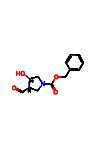 O=C[C@@H]1CN(C(=O)OCc2ccccc2)C[C@H]1O